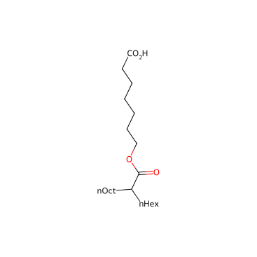 CCCCCCCCC(CCCCCC)C(=O)OCCCCCCC(=O)O